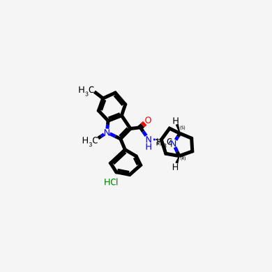 Cc1ccc2c(C(=O)N[C@H]3C[C@H]4CC[C@@H](C3)N4C)c(-c3ccccc3)n(C)c2c1.Cl